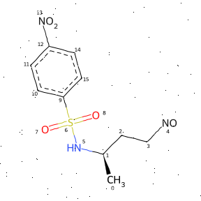 C[C@H](CCN=O)NS(=O)(=O)c1ccc([N+](=O)[O-])cc1